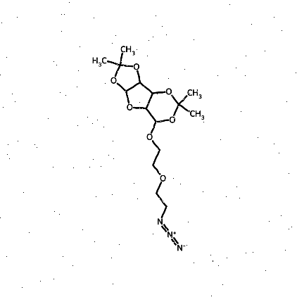 CC1(C)OC2OC3C(OCCOCCN=[N+]=[N-])OC(C)(C)OC3C2O1